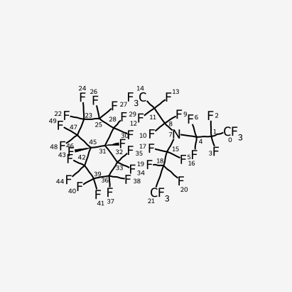 FC(F)(F)C(F)(F)C(F)(F)N(C(F)(F)C(F)(F)C(F)(F)F)C(F)(F)C(F)(F)C(F)(F)F.FC1(F)C(F)(F)C(F)(F)[C@]2(F)C(F)(F)C(F)(F)C(F)(F)C(F)(F)[C@]2(F)C1(F)F